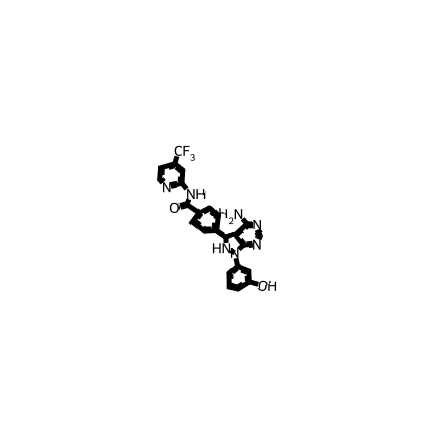 Nc1ncnc2c1C(c1ccc(C(=O)Nc3cc(C(F)(F)F)ccn3)cc1)NN2c1cccc(O)c1